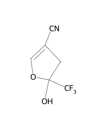 N#CC1=COC(O)(C(F)(F)F)C1